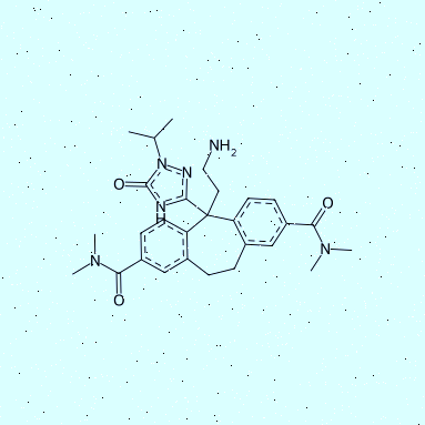 CC(C)n1nc(C2(CCN)c3ccc(C(=O)N(C)C)cc3CCc3cc(C(=O)N(C)C)ccc32)[nH]c1=O